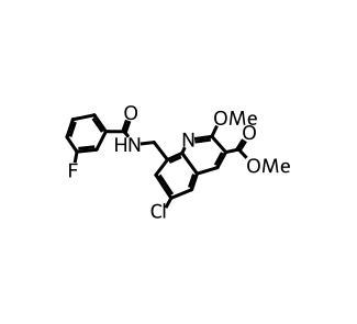 COC(=O)c1cc2cc(Cl)cc(CNC(=O)c3cccc(F)c3)c2nc1OC